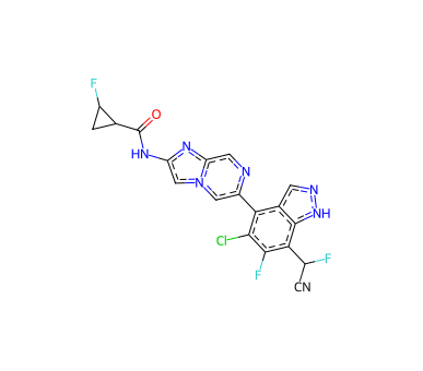 N#CC(F)c1c(F)c(Cl)c(-c2cn3cc(NC(=O)C4CC4F)nc3cn2)c2cn[nH]c12